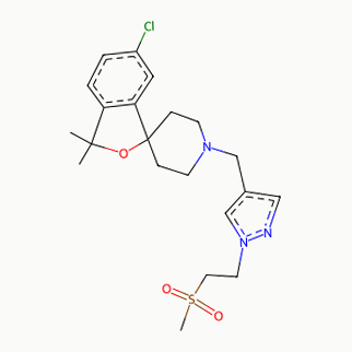 CC1(C)OC2(CCN(Cc3cnn(CCS(C)(=O)=O)c3)CC2)c2cc(Cl)ccc21